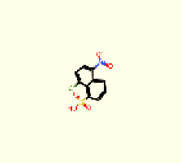 O=[N+]([O-])c1ccc(Cl)c2c(S(=O)(=O)O)cccc12